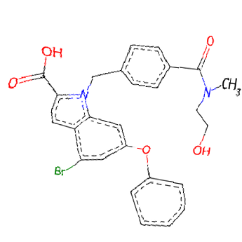 CN(CCO)C(=O)c1ccc(Cn2c(C(=O)O)cc3c(Br)cc(Oc4ccccc4)cc32)cc1